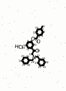 Cc1ccc(C(=O)Oc2cccc(C(=O)CN(Cc3ccccc3)Cc3ccccc3)c2)cc1.Cl